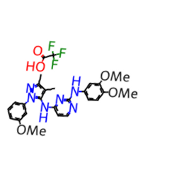 COc1cccc(-n2nc(C)c(C)c2Nc2ccnc(Nc3ccc(OC)c(OC)c3)n2)c1.O=C(O)C(F)(F)F